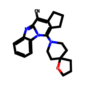 N#Cc1c2c(c(N3CCC4(CCCO4)CC3)n3c1nc1ccccc13)CCC2